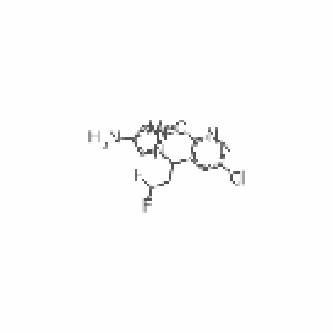 COc1nnc(Cl)cc1C(CC(F)F)n1cc(N)cn1